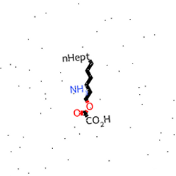 CCCCCCCCCCCCCOC(=O)C(=O)O.N